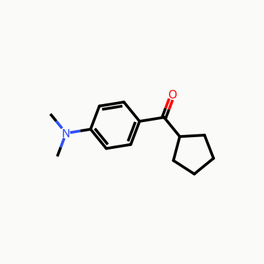 CN(C)c1ccc(C(=O)C2CCCC2)cc1